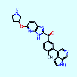 N#Cc1ccc(C(=O)c2nc3ccc(OC4CCNC4)nc3[nH]2)cc1-c1cncc2[nH]ccc12